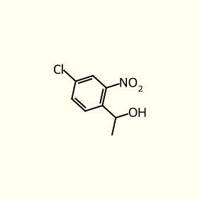 CC(O)c1ccc(Cl)cc1[N+](=O)[O-]